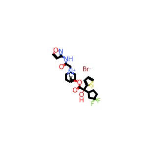 O=C(C[N+]12CCC(CC1)C(OC(=O)[C@@](O)(c1cccs1)C1CCC(F)(F)C1)C2)Nc1ccon1.[Br-]